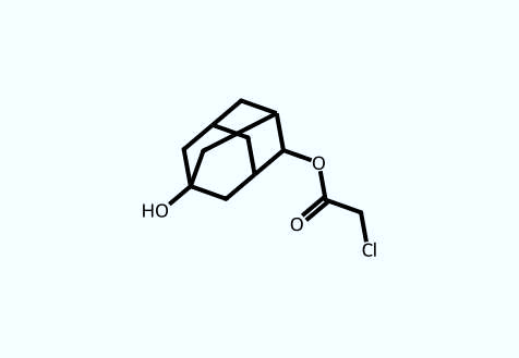 O=C(CCl)OC1C2CC3CC1CC(O)(C3)C2